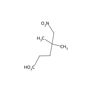 CC(C)(CCC(=O)O)C[N+](=O)[O-]